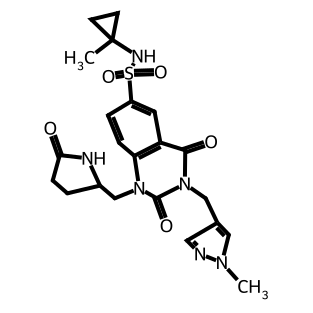 Cn1cc(Cn2c(=O)c3cc(S(=O)(=O)NC4(C)CC4)ccc3n(CC3CCC(=O)N3)c2=O)cn1